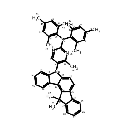 Cc1cc(C)c(B(c2ncc(-n3c4ccccc4c4c5c(ccc43)-c3ccccc3C5(C)C)c(C)n2)c2c(C)cc(C)cc2C)c(C)c1